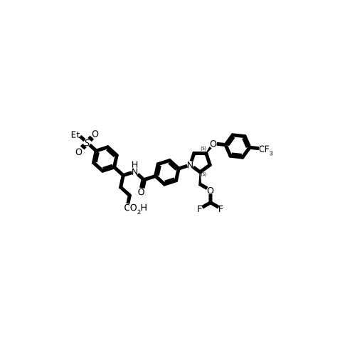 CCS(=O)(=O)c1ccc(C(CCC(=O)O)NC(=O)c2ccc(N3C[C@@H](Oc4ccc(C(F)(F)F)cc4)C[C@H]3COC(F)F)cc2)cc1